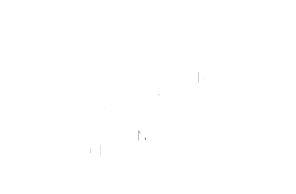 Clc1cc2cccc(Cl)c2cn1